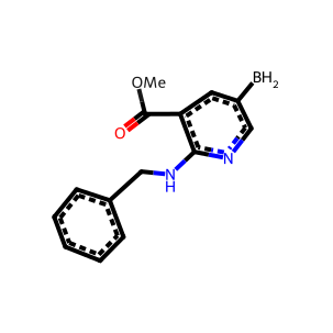 Bc1cnc(NCc2ccccc2)c(C(=O)OC)c1